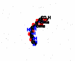 COc1c(NC(=O)c2ccc(NC(=O)c3ccc(NC(=O)CNC(=O)c4ccc(NC(=O)c5ccc6nccnc6c5)cc4)cn3)c(OC)c2O)ccc(C(=O)O)c1O